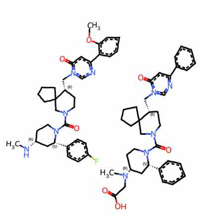 CN(CC(=O)O)[C@@H]1CCN(C(=O)N2CC[C@@H](Cn3cnc(-c4ccccc4)cc3=O)C3(CCCC3)C2)[C@H](c2ccccc2)C1.CN[C@@H]1CCN(C(=O)N2CC[C@@H](Cn3cnc(-c4ccccc4OC)cc3=O)C3(CCCC3)C2)[C@H](c2ccc(F)cc2)C1